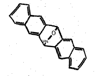 c1ccc2cc3c(cc2c1)C1NOC3c2cc3ccccc3cc21